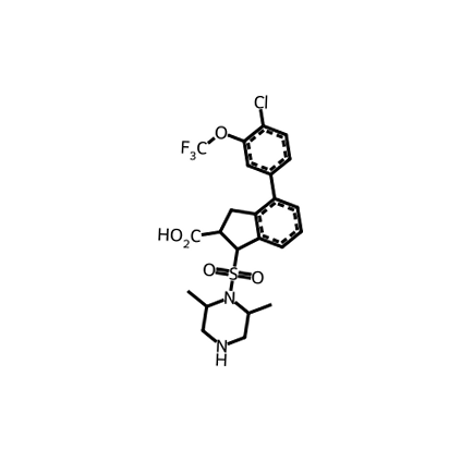 CC1CNCC(C)N1S(=O)(=O)C1c2cccc(-c3ccc(Cl)c(OC(F)(F)F)c3)c2CC1C(=O)O